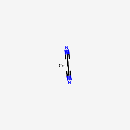 N#CC#N.[Co]